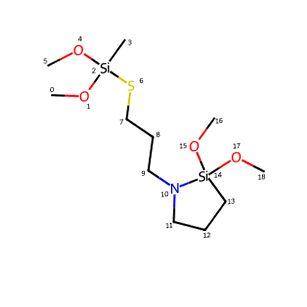 CO[Si](C)(OC)SCCCN1CCC[Si]1(OC)OC